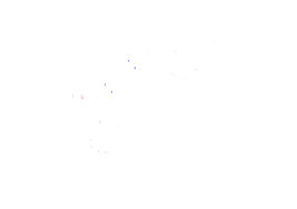 O=C(c1ccc2c(c1)OCO2)N1CCN(C(=O)c2ccc3c(c2)OCO3)CC1